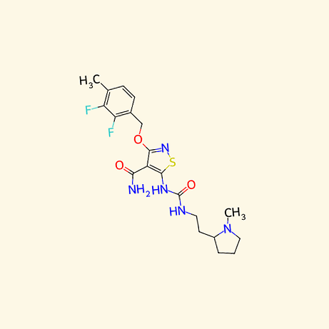 Cc1ccc(COc2nsc(NC(=O)NCCC3CCCN3C)c2C(N)=O)c(F)c1F